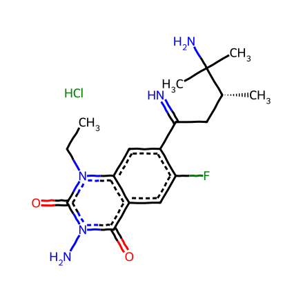 CCn1c(=O)n(N)c(=O)c2cc(F)c(C(=N)C[C@@H](C)C(C)(C)N)cc21.Cl